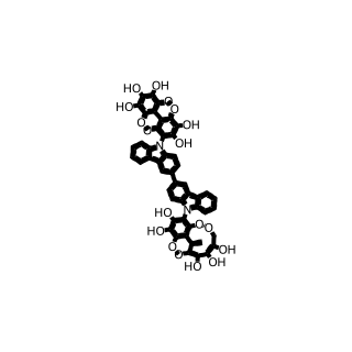 C=C1/C2=C(O)\C(O)=C(\O)COOc3c1c(c(O)c(O)c3-n1c3ccccc3c3cc(-c4ccc5c(c4)c4ccccc4n5-c4c(O)c(O)c5ooc6c(O)c(O)c(O)c7ooc4c5-c67)ccc31)OO2